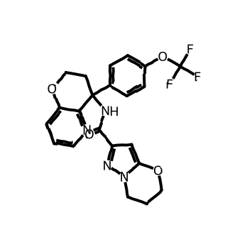 O=C(NC1(c2ccc(OC(F)(F)F)cc2)CCOc2cccnc21)c1cc2n(n1)CCCO2